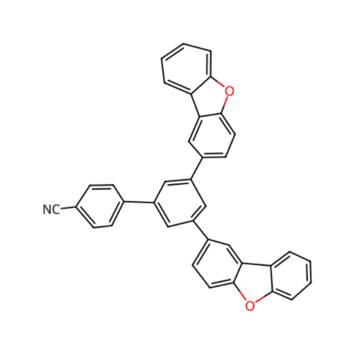 N#Cc1ccc(-c2cc(-c3ccc4oc5ccccc5c4c3)cc(-c3ccc4oc5ccccc5c4c3)c2)cc1